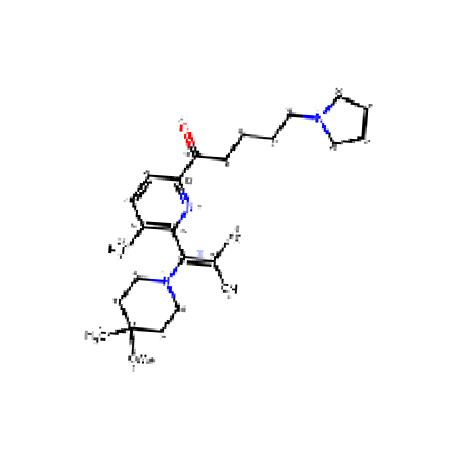 COC1(C)CCN(/C(=C(\C#N)C(C)=O)c2nc(C(=O)CCCCN3CCCC3)ccc2C)CC1